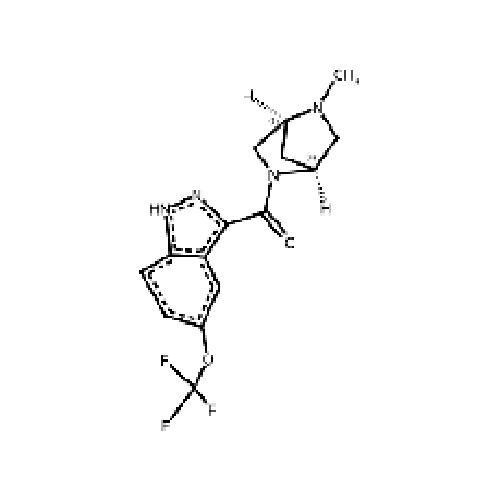 CN1C[C@@H]2C[C@H]1CN2C(=O)c1n[nH]c2ccc(OC(F)(F)F)cc12